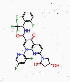 O=C(NC(c1c(F)cccc1F)C(F)(F)F)c1cn(-c2ncc(F)cc2F)c2nc(N3CC(O)CC3=O)ccc2c1=O